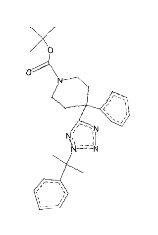 CC(C)(C)OC(=O)N1CCC(c2ccccc2)(c2nnn(C(C)(C)c3ccccc3)n2)CC1